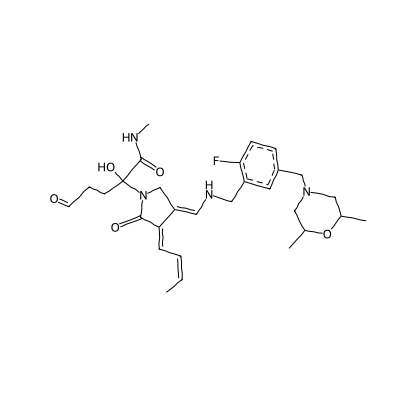 C\C=C/C=C1/C(=O)N(C(O)(CCC=O)C(=O)NC)C/C1=C\NCc1cc(CN2CC(C)OC(C)C2)ccc1F